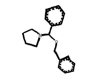 c1ccc(COC(c2ccccc2)N2CCCC2)cc1